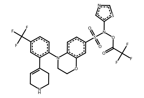 O=C(ON(c1cncs1)S(=O)(=O)c1ccc2c(c1)OCCN2c1ccc(C(F)(F)F)cc1C1=CCNCC1)C(F)(F)F